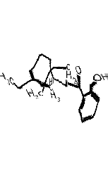 CCC1CCCC(C)(NC(=O)c2ccccc2O)C1(C)C